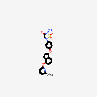 COc1cccc(Oc2cccc3c2CC[C@H]3Oc2ccc(N3CC(=O)N(N)S3(=O)=O)cc2)n1